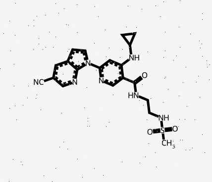 CS(=O)(=O)NCCNC(=O)c1cnc(-n2ccc3cc(C#N)cnc32)cc1NC1CC1